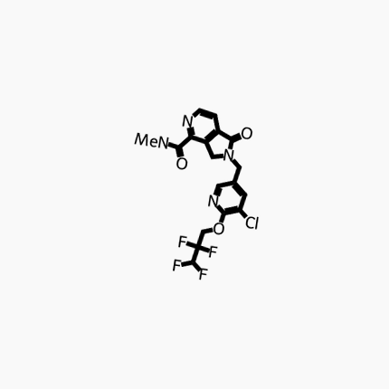 CNC(=O)c1nccc2c1CN(Cc1cnc(OCC(F)(F)C(F)F)c(Cl)c1)C2=O